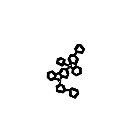 C1=CCCC([Si](c2ccccc2)(c2ccc(-c3ccccc3)cc2)c2ccc3c(c2)c2ccccc2n3-c2cccc(-c3ccccc3)c2)=C1